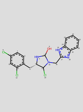 OC1N[C@@H](Cc2ccc(Cl)cc2Cl)C(Cl)N1Cc1nc2ccccc2[nH]1